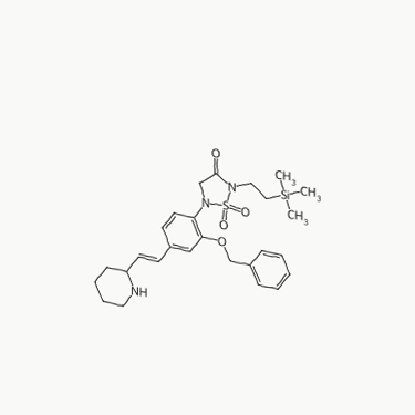 C[Si](C)(C)CCN1C(=O)CN(c2ccc(C=CC3CCCCN3)cc2OCc2ccccc2)S1(=O)=O